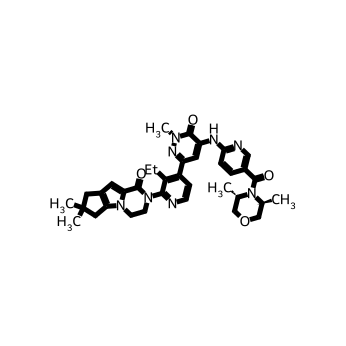 CCc1c(-c2cc(Nc3ccc(C(=O)N4[C@@H](C)COC[C@@H]4C)cn3)c(=O)n(C)n2)ccnc1N1CCn2c(cc3c2CC(C)(C)C3)C1=O